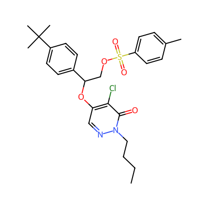 CCCCn1ncc(OC(COS(=O)(=O)c2ccc(C)cc2)c2ccc(C(C)(C)C)cc2)c(Cl)c1=O